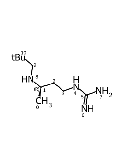 C[C@H](CCNC(=N)N)NCC(C)(C)C